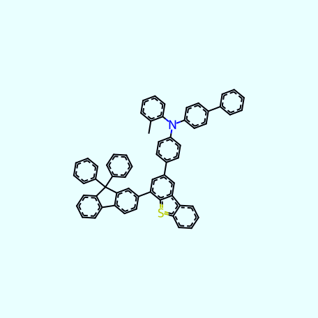 Cc1ccccc1N(c1ccc(-c2ccccc2)cc1)c1ccc(-c2cc(-c3ccc4c(c3)C(c3ccccc3)(c3ccccc3)c3ccccc3-4)c3sc4ccccc4c3c2)cc1